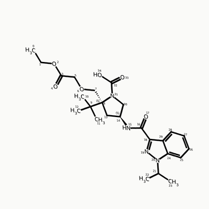 CCOC(=O)COC[C@@]1(C(C)(C)C)C[C@H](NC(=O)c2nn(C(C)C)c3ccccc23)CN1C(=O)O